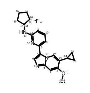 CCOc1cc2ncc(-c3cccc(N[C@H]4CCC[C@@H]4F)n3)n2cc1C1CC1